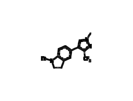 CCN1CCc2cc(-c3cn(C)nc3C(F)(F)F)ccc21